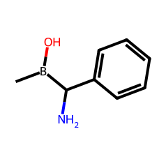 CB(O)C(N)c1ccccc1